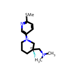 CSc1ccc(N2CCC[C@@](F)(CN(C)C)C2)cn1